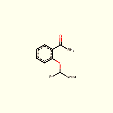 CCCCCC(CC)Oc1ccccc1C(=O)[SiH3]